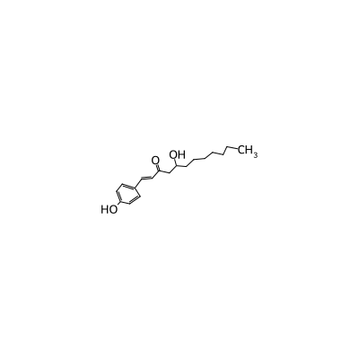 CCCCCCCC(O)CC(=O)C=Cc1ccc(O)cc1